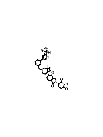 [2H]C([2H])([2H])n1cc(-c2cccc(CN3CCC4(COc5c4ccc4c5CN([C@H]5CCC(=O)NC5=O)C4=O)C(F)(F)C3)c2)cn1